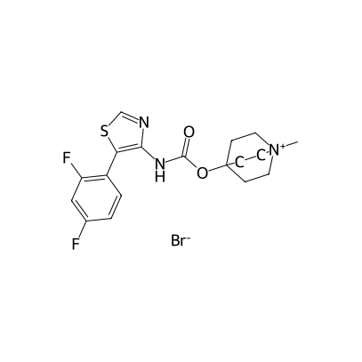 C[N+]12CCC(OC(=O)Nc3ncsc3-c3ccc(F)cc3F)(CC1)CC2.[Br-]